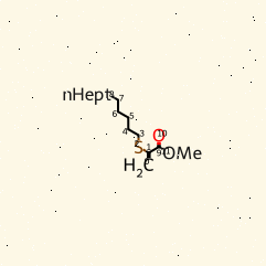 C=C(SCCCCCCCCCCCC)C(=O)OC